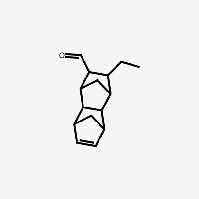 CCC1C(C=O)C2CC1C1C3C=CC(C3)C21